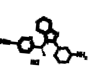 C[C@H](c1ccc(C#N)cn1)n1c(N2CCCC(N)C2)nc2ccccc21.Cl